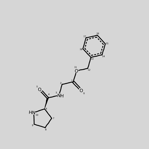 O=C(CNC(=O)[C@H]1CCCN1)OCc1ccccc1